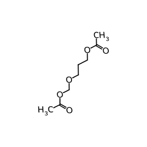 CC(=O)OCCCOCOC(C)=O